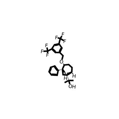 CC(C)(O)[C@@H]1C[C@]2(c3ccccc3)N[C@H]1CC[C@H]2OCc1cc(C(F)(F)F)cc(C(F)(F)F)c1